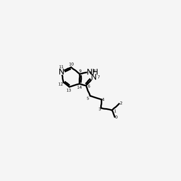 CC(C)CCCc1n[nH]c2cnccc12